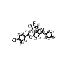 C[C@H](NC(=O)C(F)(F)F)[C@@H](Oc1ccc2c(cnn2-c2ccc(F)cc2)c1)c1ccc(Cl)c(F)c1